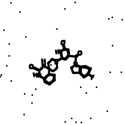 O=C1Nc2ccccc2C2(CCN(c3cc(C(=O)N4CCc5cc(F)ccc54)cc(=O)[nH]3)CC2)N1